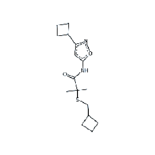 CC(C)(SCC1CCC1)C(=O)Nc1cc(C2CCC2)no1